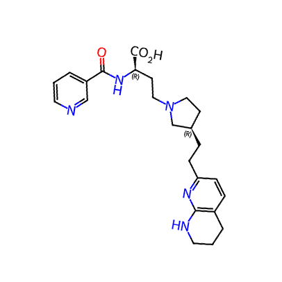 O=C(N[C@H](CCN1CC[C@@H](CCc2ccc3c(n2)NCCC3)C1)C(=O)O)c1cccnc1